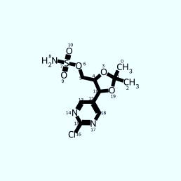 CC1(C)OC(COS(N)(=O)=O)C(c2cnc(Cl)nc2)O1